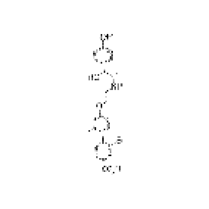 CCc1cc(C(=O)O)ccc1-c1ccc(OCCN[C@@H](C)[C@H](O)c2ccc(O)cc2)cc1C